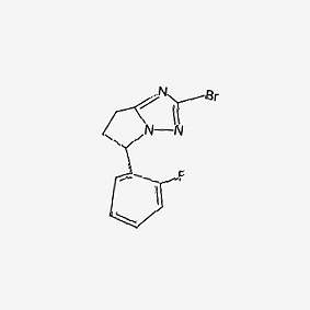 Fc1ccccc1C1CCc2nc(Br)nn21